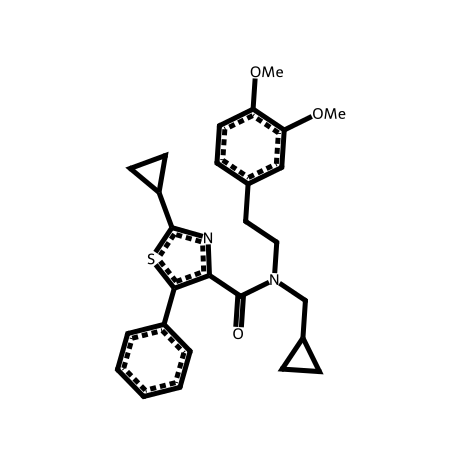 COc1ccc(CCN(CC2CC2)C(=O)c2nc(C3CC3)sc2-c2ccccc2)cc1OC